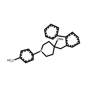 COC1(Cc2ccccc2-c2ccccc2)CCN(c2ccc(C(=O)O)cc2)CC1